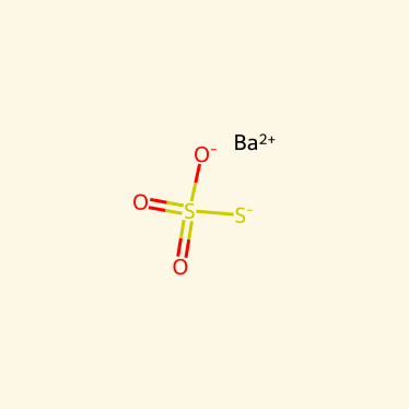 O=S(=O)([O-])[S-].[Ba+2]